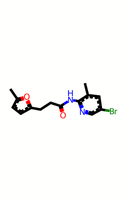 Cc1ccc(CCC(=O)Nc2ncc(Br)cc2C)o1